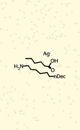 CCCCCC(=O)O.CCCCCCCCCCCCCCCCN.[Ag]